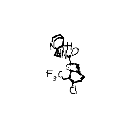 O=C(N[C@H]1C2CCN(CC2)C12CC2)c1cc2ccc(Cl)c(CC(F)(F)F)c2s1